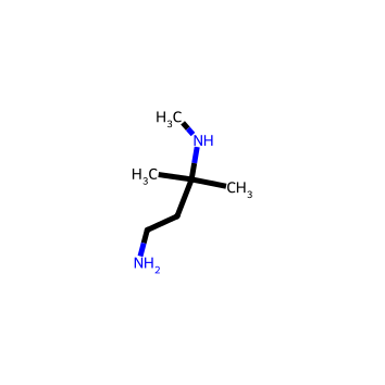 CNC(C)(C)CCN